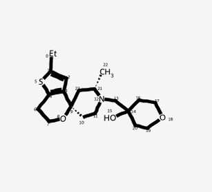 CCc1cc2c(s1)CCO[C@@]21CCN(CC2(O)CCOCC2)[C@@H](C)C1